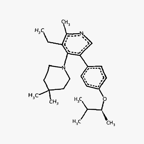 CCc1c(C)ncc(-c2ccc(O[C@@H](C)C(C)C)cc2)c1N1CCC(C)(C)CC1